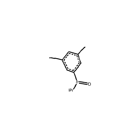 Cc1cc(C)cc([P](=O)C(C)C)c1